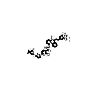 CN1CC(CCC(Nc2cccc(SNC(=O)c3ccc(-n4ccc(OCCC5(C(F)(F)F)CC5)n4)nc3Cl)n2)c2ccccc2)CC1(C)C